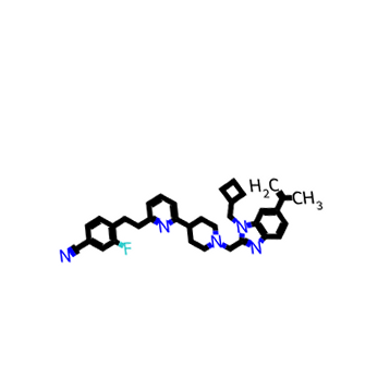 C=C(C)c1ccc2nc(CN3CCC(c4cccc(CCc5ccc(C#N)cc5F)n4)CC3)n(CC3CCC3)c2c1